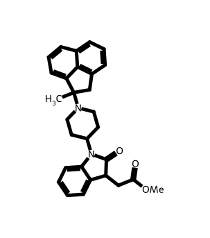 COC(=O)CC1C(=O)N(C2CCN(C3(C)Cc4cccc5cccc3c45)CC2)c2ccccc21